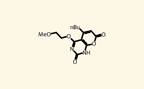 CCCCc1cc(=O)oc2[nH]c(=O)nc(OCCOC)c12